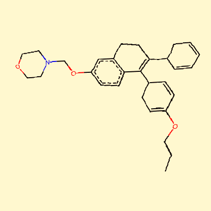 CCCOC1=CCC(C2=C(C3C=CC=CC3)CCc3cc(OCN4CCOCC4)ccc32)C=C1